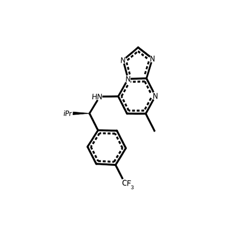 Cc1cc(N[C@@H](c2ccc(C(F)(F)F)cc2)C(C)C)n2ncnc2n1